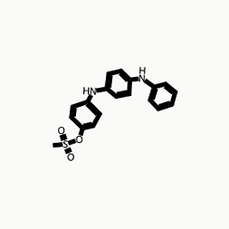 CS(=O)(=O)Oc1ccc(Nc2ccc(Nc3ccccc3)cc2)cc1